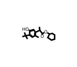 Cc1cc(C(C)(C)C)c(O)cc1C(C)C(=O)OC1CCCCC1